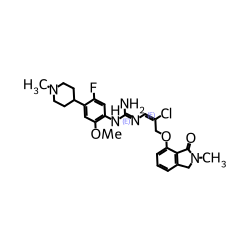 COc1cc(C2CCN(C)CC2)c(F)cc1N/C(N)=N/C=C(/Cl)COc1cccc2c1C(=O)N(C)C2